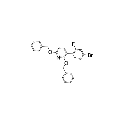 Fc1cc(Br)ccc1-c1ccc(OCc2ccccc2)nc1OCc1ccccc1